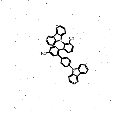 N#Cc1ccc(-c2cccc(C#N)c2-n2c3ccccc3c3ccccc32)c(-c2ccc(-n3c4ccccc4c4ccccc43)cc2)c1